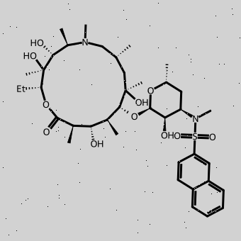 CC[C@H]1OC(=O)[C@H](C)[C@@H](O)[C@H](C)[C@@H](O[C@H]2O[C@H](C)C[C@@H](N(C)S(=O)(=O)c3ccc4ccccc4c3)[C@H]2O)[C@](C)(O)C[C@@H](C)CN(C)[C@H](C)[C@@H](O)[C@]1(C)O